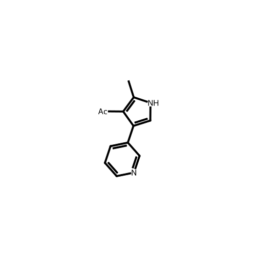 CC(=O)c1c(-c2cccnc2)c[nH]c1C